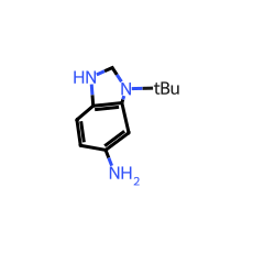 CC(C)(C)N1CNc2ccc(N)cc21